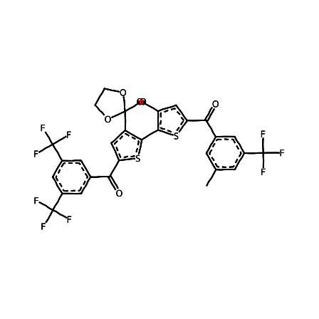 Cc1cc(C(=O)c2cc3c(s2)-c2sc(C(=O)c4cc(C(F)(F)F)cc(C(F)(F)F)c4)cc2C2(OCCO2)C32OCCO2)cc(C(F)(F)F)c1